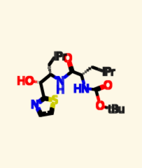 CC(C)C[C@H](NC(=O)OC(C)(C)C)C(=O)N[C@@H](CC(C)C)[C@@H](O)c1nccs1